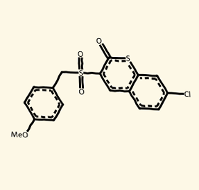 COc1ccc(CS(=O)(=O)c2cc3ccc(Cl)cc3sc2=O)cc1